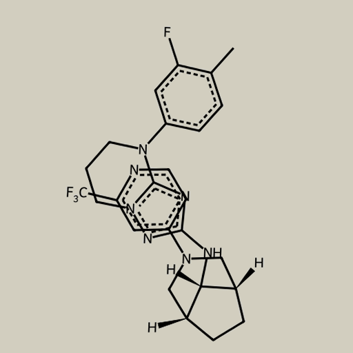 Cc1ccc(N2CCCn3nc(N[C@H]4[C@@H]5CC[C@H]4CN(c4ccnc(C(F)(F)F)c4)C5)nc32)cc1F